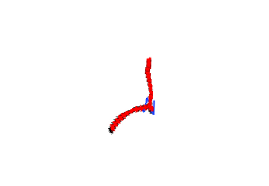 C#CC#CC#CC#CC#CC#CC#CC#CC#CC#CC#CN(C#CC#CC#CC#CC#CC#CC#CC#CC#CC#CC#C)CC=C